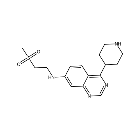 CS(=O)(=O)CCNc1ccc2c(C3CCNCC3)ncnc2c1